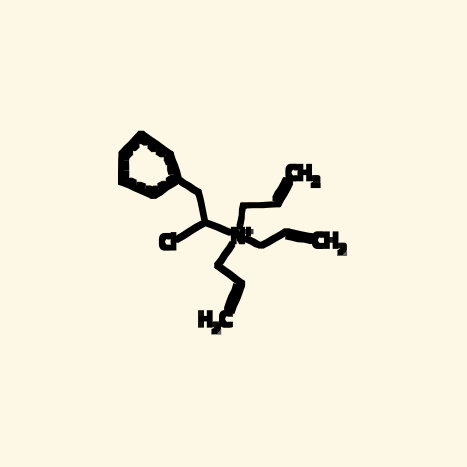 C=CC[N+](CC=C)(CC=C)C(Cl)Cc1ccccc1